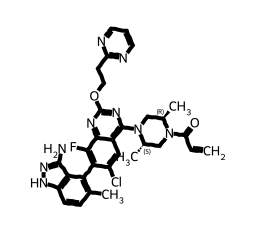 C=CC(=O)N1C[C@H](C)N(c2nc(OCCc3ncccn3)nc3c(F)c(-c4c(C)ccc5[nH]nc(N)c45)c(Cl)cc23)C[C@H]1C